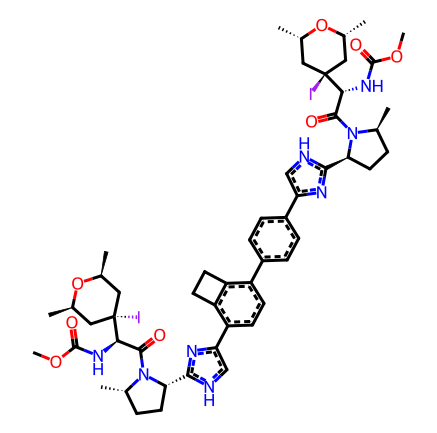 COC(=O)N[C@H](C(=O)N1[C@@H](C)CC[C@H]1c1nc(-c2ccc(-c3ccc(-c4c[nH]c([C@@H]5CC[C@H](C)N5C(=O)[C@@H](NC(=O)OC)[C@@]5(I)C[C@@H](C)O[C@@H](C)C5)n4)c4c3CC4)cc2)c[nH]1)[C@@]1(I)C[C@@H](C)O[C@@H](C)C1